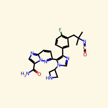 CC(C)(Cc1cc(-c2ncn(C3CNC3)c2-c2ccc3ncc(C(N)=O)n3n2)ccc1F)N=C=O